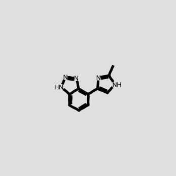 Cc1nc(-c2cccc3[nH]nnc23)c[nH]1